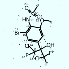 COc1cc(C(O)(C(F)(F)Cl)C(F)(Cl)Cl)cc(Br)c1NS(C)(=O)=O